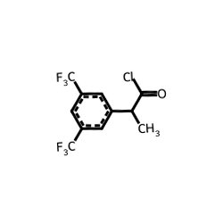 CC(C(=O)Cl)c1cc(C(F)(F)F)cc(C(F)(F)F)c1